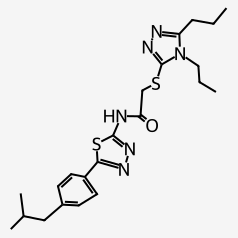 CCCc1nnc(SCC(=O)Nc2nnc(-c3ccc(CC(C)C)cc3)s2)n1CCC